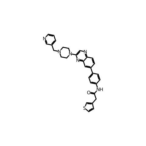 O=C(Cc1ccsc1)Nc1ccc(-c2ccc3ncc(N4CCN(Cc5cccnc5)CC4)nc3c2)cc1